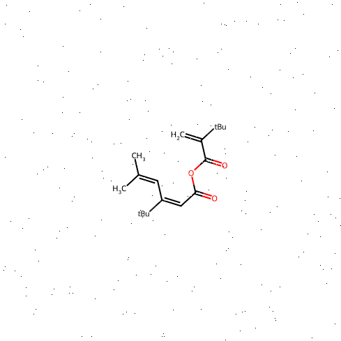 C=C(C(=O)OC(=O)C=C(C=C(C)C)C(C)(C)C)C(C)(C)C